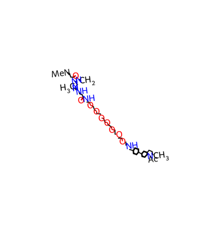 C=N/C(=C/N(C)CNCCC(=O)NCCOCCOCCOCCOCCOCCOCCOCCNCc1ccc(-c2ccc3c(c2)CC[C@H](C)N3C(C)=O)cc1)NC(=O)CCNC